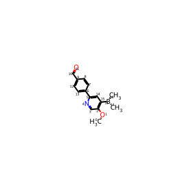 COc1cnc(-c2ccc(C=O)cc2)cc1B(C)C